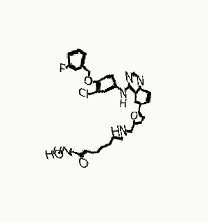 O=C(CCCCCCNCc1ccc(-c2ccc3ncnc(Nc4ccc(OCc5cccc(F)c5)c(Cl)c4)c3c2)o1)NO